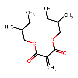 C=C(C(=O)OCC(C)CC)C(=O)OCC(C)CC